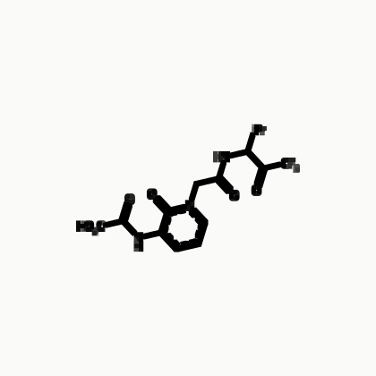 CC(C)C(NC(=O)Cn1cccc(NC(=O)C(=O)O)c1=O)C(=O)C(F)(F)F